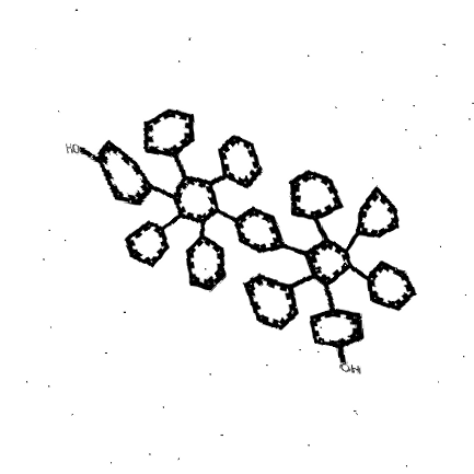 Oc1ccc(-c2c(-c3ccccc3)c(-c3ccccc3)c(-c3ccc(-c4c(-c5ccccc5)c(-c5ccccc5)c(-c5ccccc5)c(-c5ccc(O)cc5)c4-c4ccccc4)cc3)c(-c3ccccc3)c2-c2ccccc2)cc1